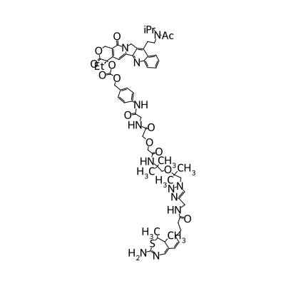 CC[C@@]1(OC(=O)OCc2ccc(NC(=O)CNC(=O)COCC(=O)NC(C)(C)COC(C)(C)Cn3cc(CNC(=O)CCC/C=C\C4=CN=C(N)SC(C)C4C)nn3)cc2)C(=O)OCc2c1cc1n(c2=O)Cc2c-1nc1ccccc1c2CCN(C(C)=O)C(C)C